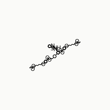 C=CC(=O)OCCCCCCOc1ccc(C(=O)OCCC2CCC(c3ccc(OC(=O)c4ccc(OCCCCCCOC(=O)C=C)cc4)c(/C=N/Nc4nc5ccccc5s4)c3)CC2)cc1